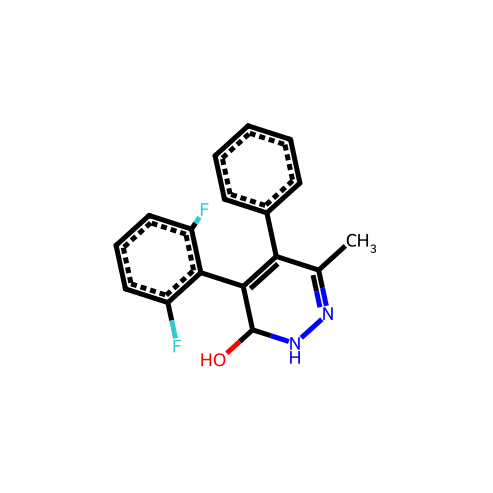 CC1=NNC(O)C(c2c(F)cccc2F)=C1c1ccccc1